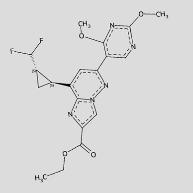 CCOC(=O)c1cn2nc(-c3cnc(OC)nc3OC)cc([C@H]3C[C@@H]3C(F)F)c2n1